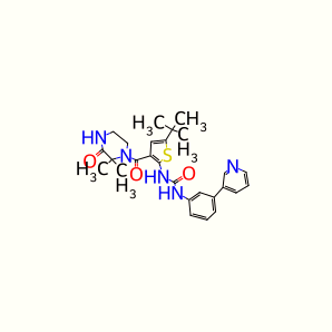 CC(C)(C)c1cc(C(=O)N2CCNC(=O)C2(C)C)c(NC(=O)Nc2cccc(-c3cccnc3)c2)s1